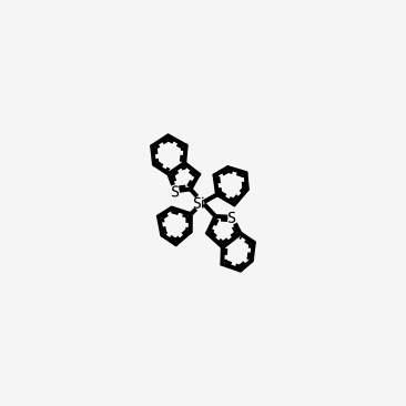 c1ccc([Si](c2ccccc2)(c2cc3ccccc3s2)c2cc3ccccc3s2)cc1